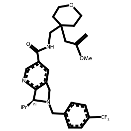 C=C(CC1(CNC(=O)c2cnc3c(c2)CN(Cc2ccc(C(F)(F)F)cc2)[C@H]3C(C)C)CCOCC1)OC